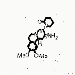 COc1cc2c(cc1OC)[C@@H]1C[C@H](N)[C@@H](N3CCC=CC3=O)CN1CC2